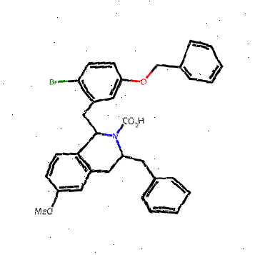 COc1ccc2c(c1)CC(Cc1ccccc1)N(C(=O)O)C2Cc1cc(OCc2ccccc2)ccc1Br